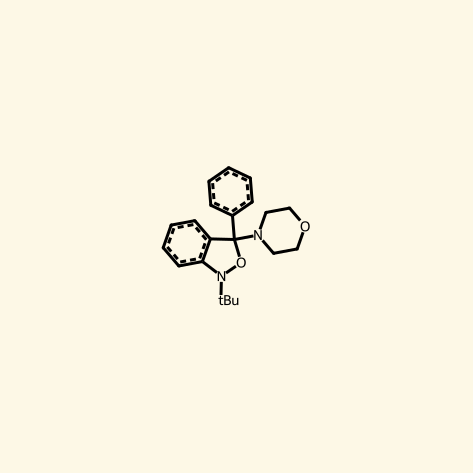 CC(C)(C)N1OC(c2ccccc2)(N2CCOCC2)c2ccccc21